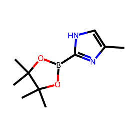 Cc1c[nH]c(B2OC(C)(C)C(C)(C)O2)n1